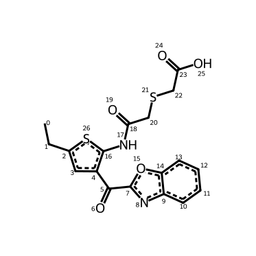 CCc1cc(C(=O)c2nc3ccccc3o2)c(NC(=O)CSCC(=O)O)s1